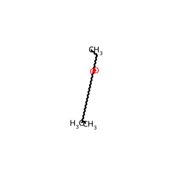 CCCC/C=C\CCCCCCCC(=O)OCCCCCCCCCCCCCCCCCCCCCCCCCCCCC(C)CC